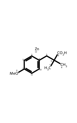 COc1ccc(CC(C)(C)C(=O)O)cc1.[Zn]